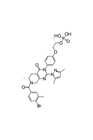 Cc1cc(C)n(-c2nc3c(c(=O)n2-c2ccc(OC[C@H](C)OP(=O)(O)O)cc2)C[C@@H](C)N(C(=O)c2ccc(Br)c(C)c2)C3)n1